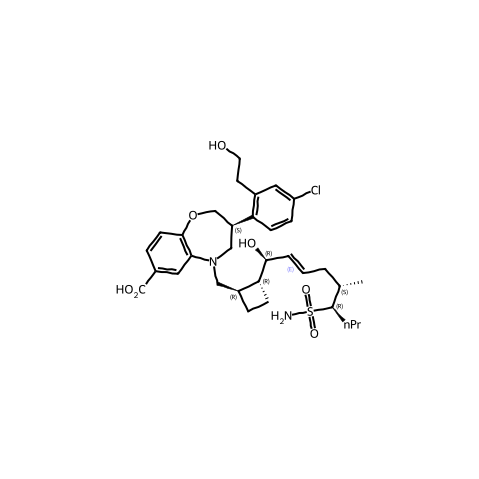 CCC[C@H]([C@@H](C)C/C=C/[C@H](O)[C@@H]1CC[C@H]1CN1C[C@H](c2ccc(Cl)cc2CCO)COc2ccc(C(=O)O)cc21)S(N)(=O)=O